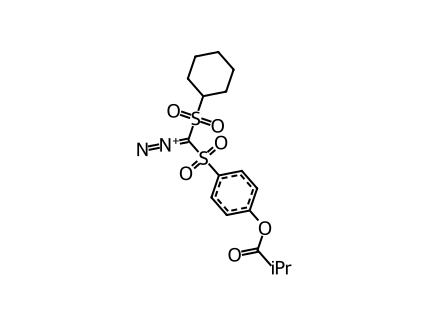 CC(C)C(=O)Oc1ccc(S(=O)(=O)C(=[N+]=[N-])S(=O)(=O)C2CCCCC2)cc1